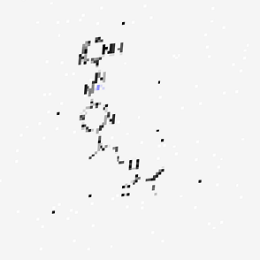 C=C(C)C(=O)OCCN(C)c1ccc(/N=N/c2ncc[nH]2)cn1